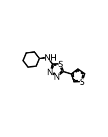 c1cc(-c2nnc(NC3CCCCC3)s2)cs1